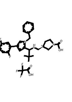 CC(C)(C)C(NC[C@H]1CCN(C(=O)O)C1)c1cc(-c2cc(F)ccc2F)cn1Cc1ccccc1.O=C(O)C(F)(F)F